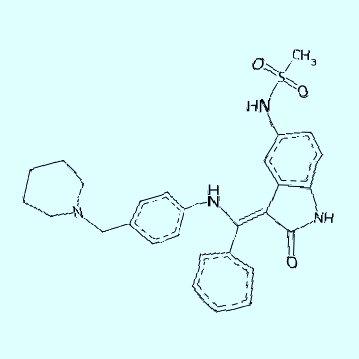 CS(=O)(=O)Nc1ccc2c(c1)C(=C(Nc1ccc(CN3CCCCC3)cc1)c1ccccc1)C(=O)N2